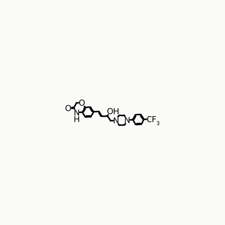 O=C1COc2cc(C=CC(O)CN3CCN(c4ccc(C(F)(F)F)cc4)CC3)ccc2N1